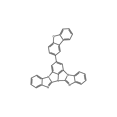 c1ccc2c(c1)nc1n2c2cc(-c3ccc4oc5ccccc5c4c3)cc3c2n1c1nc2ccccc2n31